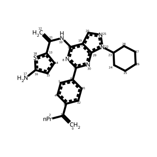 C=C(CCC)c1ccc(-c2nc(NC(=C)c3ccc(N)s3)c3cnn(C4CCCCC4)c3n2)cc1